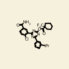 CC(C)c1cccc(-c2nc(OC(=O)C3(C(F)(F)F)CCCCC3)nc(-c3cc(C(N)=O)ccc3Cl)n2)c1